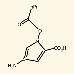 CCCC(=O)ON1C=S(N)C=C1C(=O)O